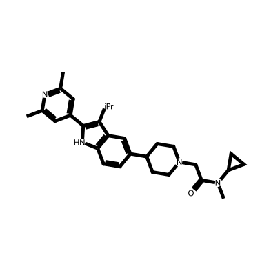 Cc1cc(-c2[nH]c3ccc(C4CCN(CC(=O)N(C)C5CC5)CC4)cc3c2C(C)C)cc(C)n1